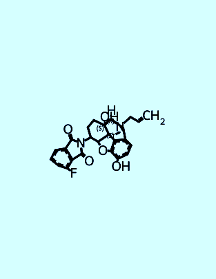 C=CCN1CC[C@]23c4c5ccc(O)c4OC2C(N2C(=O)c4cccc(F)c4C2=O)CC[C@@]3(O)[C@H]1C5